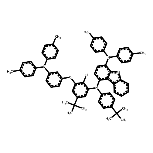 Cc1ccc(N(c2ccc(C)cc2)c2cccc(Oc3cc(C(C)(C)C)cc(N(c4ccc(C(C)(C)C)cc4)c4ccc(N(c5ccc(C)cc5)c5ccc(C)cc5)c5oc6ccccc6c45)c3Cl)c2)cc1